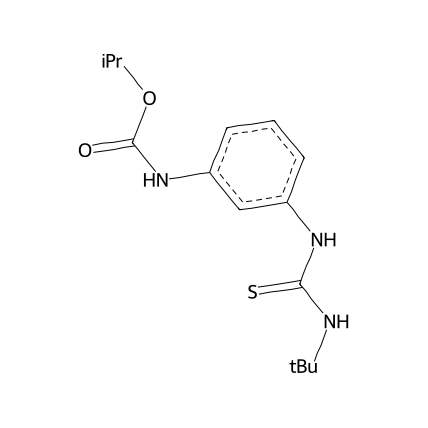 CC(C)OC(=O)Nc1cccc(NC(=S)NC(C)(C)C)c1